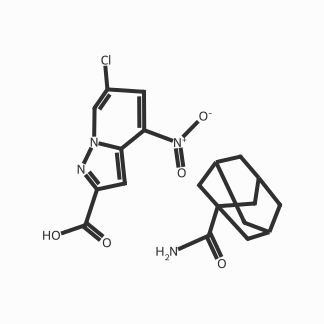 NC(=O)C12CC3CC(CC(C3)C1)C2.O=C(O)c1cc2c([N+](=O)[O-])cc(Cl)cn2n1